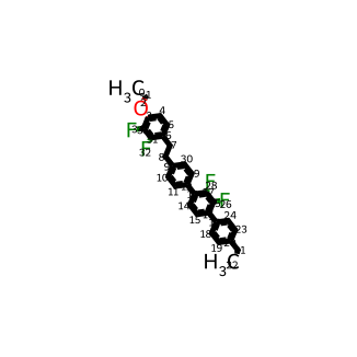 CCOc1ccc(CCc2ccc(-c3ccc(-c4ccc(CC)cc4)c(F)c3F)cc2)c(F)c1F